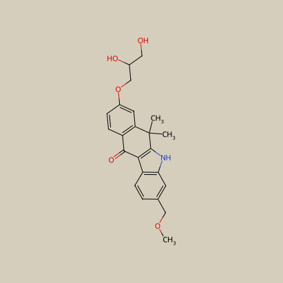 COCc1ccc2c3c([nH]c2c1)C(C)(C)c1cc(OCC(O)CO)ccc1C3=O